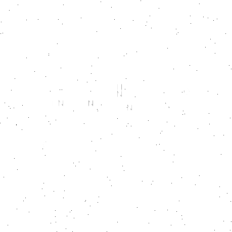 Cc1nc(NCCN2CCc3c([nH]c4ccc(Cl)cc34)C2C)ccc1CN1CCOCC1